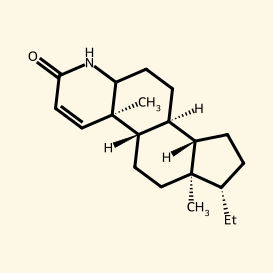 CC[C@H]1CC[C@H]2[C@@H]3CCC4NC(=O)C=C[C@]4(C)[C@H]3CC[C@]12C